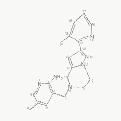 Cc1cnc(N)c(CN2CCn3nc(-c4ncccc4C)cc3C2)c1